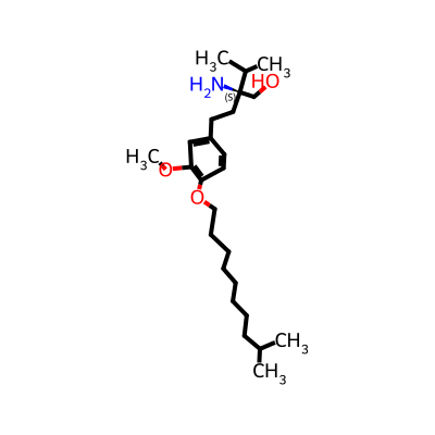 COc1cc(CC[C@@](N)(CO)C(C)C)ccc1OCCCCCCCCC(C)C